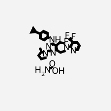 CC1CCCN1c1nc2c(c(Nc3ccc(C4CC4)cc3)n1)CCN(c1ncccc1C(F)(F)F)CC2.NC(=O)O